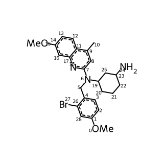 COc1ccc(CN(c2cc(C)c3ccc(OC)cc3n2)C2CCCC(N)C2)c(Br)c1